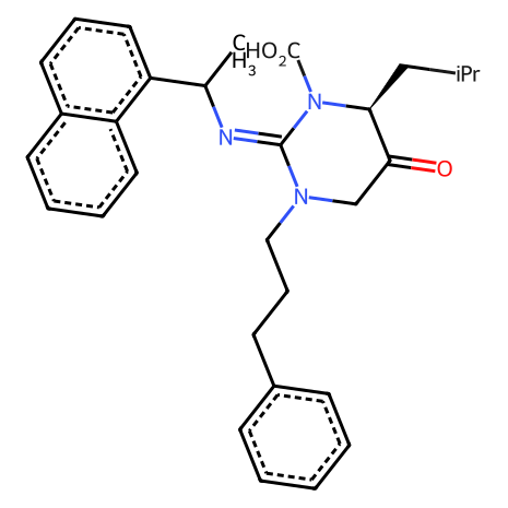 CC(C)C[C@H]1C(=O)CN(CCCc2ccccc2)C(=NC(C)c2cccc3ccccc23)N1C(=O)O